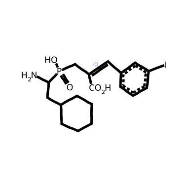 NC(CC1CCCCC1)P(=O)(O)C/C(=C/c1cccc(I)c1)C(=O)O